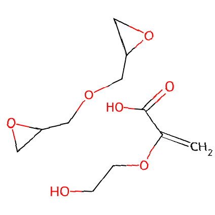 C(OCC1CO1)C1CO1.C=C(OCCO)C(=O)O